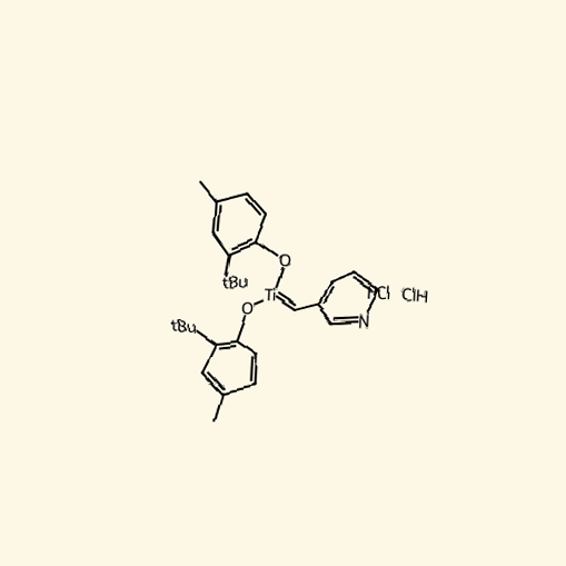 Cc1ccc([O][Ti](=[CH]c2cccnc2)[O]c2ccc(C)cc2C(C)(C)C)c(C(C)(C)C)c1.Cl.Cl